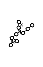 CC1(C)c2ccccc2-c2ccc(N(c3ccc(-c4cccc5c4c4ccccc4n5-c4ccccc4)cc3)c3cccc(-c4ccc(-c5ccccc5)cc4)c3)cc21